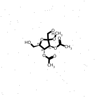 COC1(CO)O[C@H](CO)[C@@H](OC(C)=O)[C@@H]1OC(C)=O